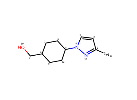 [2H]c1ccn(C2CCC(CO)CC2)n1